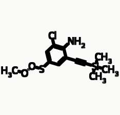 COOSc1cc(Cl)c(N)c(C#C[Si](C)(C)C)c1